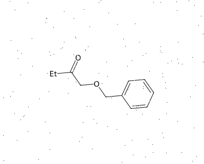 CCC(=O)COCc1ccccc1